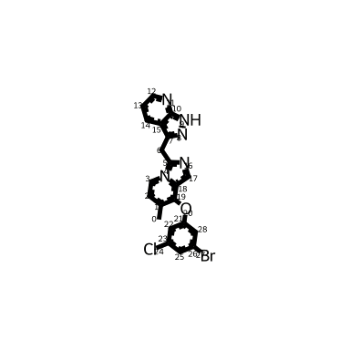 Cc1ccn2c(Cc3n[nH]c4ncccc34)ncc2c1Oc1cc(Cl)cc(Br)c1